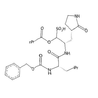 CCCC(=O)OC([C@H](C[C@@H]1CCNC1=O)NC(=O)[C@H](CC(C)C)NC(=O)OCc1ccccc1)S(=O)(=O)O